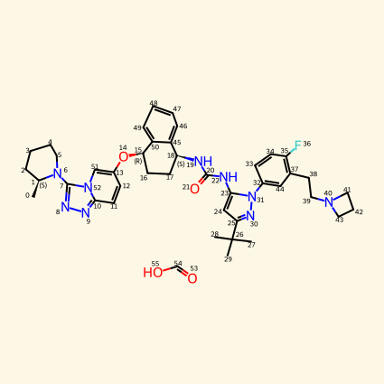 C[C@H]1CCCCN1c1nnc2ccc(O[C@@H]3CC[C@H](NC(=O)Nc4cc(C(C)(C)C)nn4-c4ccc(F)c(CCN5CCC5)c4)c4ccccc43)cn12.O=CO